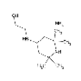 CC1(C)CC(NCCO)CC(C)(C)N1.N